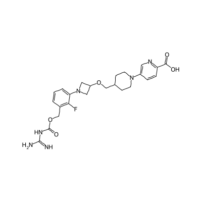 N=C(N)NC(=O)OCc1cccc(N2CC(OCC3CCN(c4ccc(C(=O)O)nc4)CC3)C2)c1F